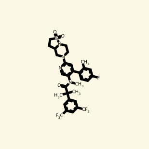 Cc1cc(F)ccc1-c1cc(N2CCN3C(CCS3(=O)=O)C2)ncc1N(C)C(=O)C(C)(C)c1cc(C(F)(F)F)cc(C(F)(F)F)c1